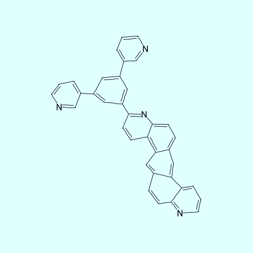 c1cncc(-c2cc(-c3cccnc3)cc(-c3ccc4c(ccc5cc6c(ccc7ncccc76)cc54)n3)c2)c1